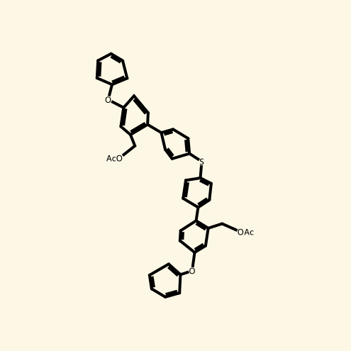 CC(=O)OCc1cc(Oc2ccccc2)ccc1-c1ccc(Sc2ccc(-c3ccc(Oc4ccccc4)cc3COC(C)=O)cc2)cc1